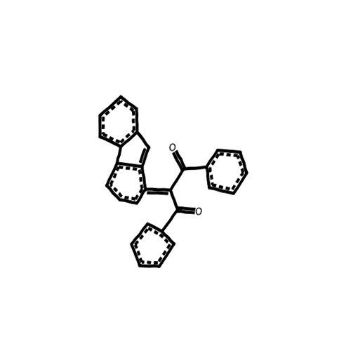 O=C(C(C(=O)c1ccccc1)=c1cccc2c1=Cc1ccccc1-2)c1ccccc1